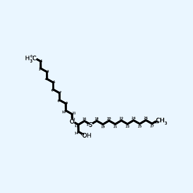 CCCCCCCCCCCCOC(CO)CSCCCCCCCCCCC